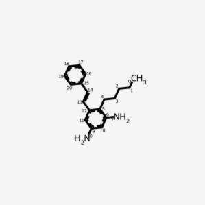 CCCCCc1c(N)cc(N)cc1C=Cc1ccccc1